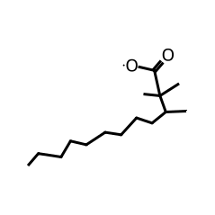 CCCCCCCCCC(C)C(C)(C)C([O])=O